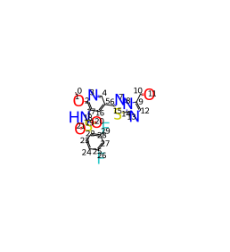 COc1ncc(-c2nn3c(C=O)cnc3s2)cc1NS(=O)(=O)c1ccc(F)cc1F